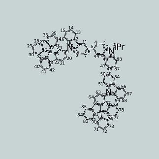 CC(C)n1c2ccc(-c3ccc4c(c3)c3ccccc3n4-c3ccc4c(c3)C(c3ccccc3)(c3ccccc3)c3ccccc3-4)cc2c2cc(-c3ccc4c(c3)c3ccccc3n4-c3ccc4c(c3)C(c3ccccc3)(c3ccccc3)c3ccccc3-4)ccc21